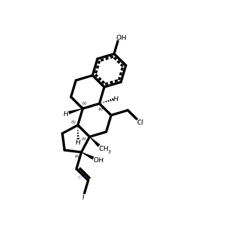 C[C@]12CC(CCl)[C@@H]3c4ccc(O)cc4CC[C@H]3[C@@H]1CC[C@@]2(O)/C=C/I